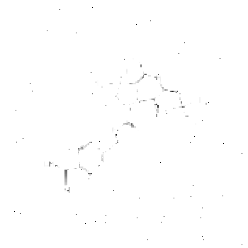 CC(C)(C)Nc1nc(Cl)c2n(c1=O)[C@H](C(=O)NCc1ccc(C(=N)N)cc1)CC2(C)C